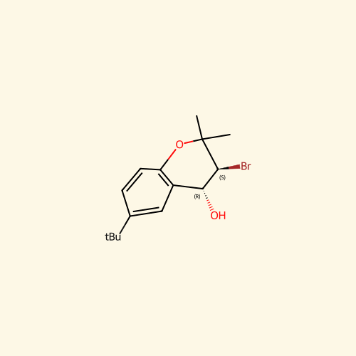 CC(C)(C)c1ccc2c(c1)[C@@H](O)[C@H](Br)C(C)(C)O2